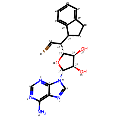 Nc1ncnc2c1ncn2[C@@H]1O[C@H](C(C=S)C2CCc3ccccc32)[C@@H](O)[C@H]1O